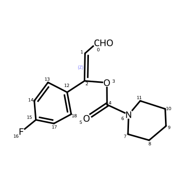 O=C/C=C(\OC(=O)N1CCCCC1)c1ccc(F)cc1